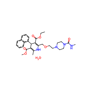 CCOC(=O)C1=C(COCCN2CCN(C(=O)NC)CC2)NC(C)=C(C(=O)OC)C1c1cccc2ccccc12.O